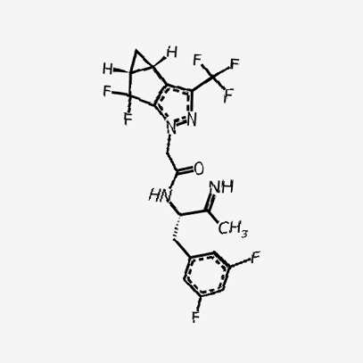 CC(=N)[C@H](Cc1cc(F)cc(F)c1)NC(=O)Cn1nc(C(F)(F)F)c2c1C(F)(F)[C@@H]1C[C@H]21